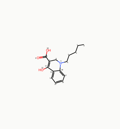 CCCCCN1CC(C(=O)O)=C(O)c2ccccc21